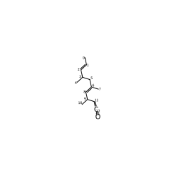 CC=CC(C)CC(C)=CC(C)C=C=O